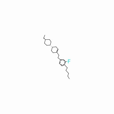 CCCCCc1ccc(CCC2=CCC([C@H]3CC[C@H](CC)CC3)CC2)cc1F